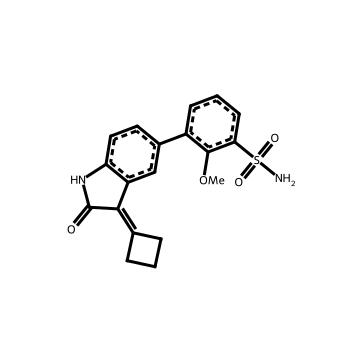 COc1c(-c2ccc3c(c2)C(=C2CCC2)C(=O)N3)cccc1S(N)(=O)=O